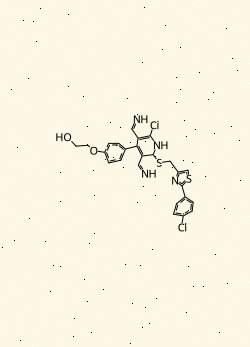 N=CC1=C(Cl)NC(SCc2csc(-c3ccc(Cl)cc3)n2)C(C=N)=C1c1ccc(OCCO)cc1